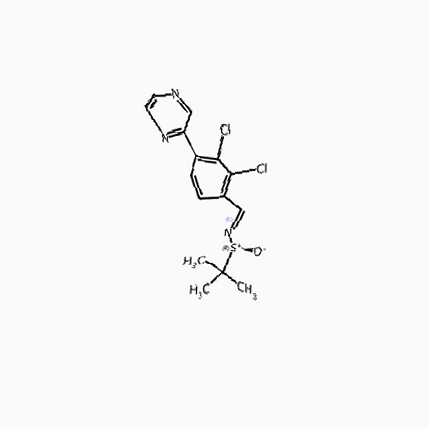 CC(C)(C)[S@+]([O-])/N=C/c1ccc(-c2cnccn2)c(Cl)c1Cl